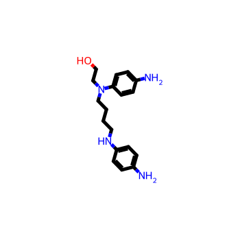 Nc1ccc(NCCCCN(CCO)c2ccc(N)cc2)cc1